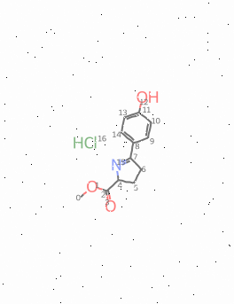 COC(=O)C1CCC(c2ccc(O)cc2)=N1.Cl